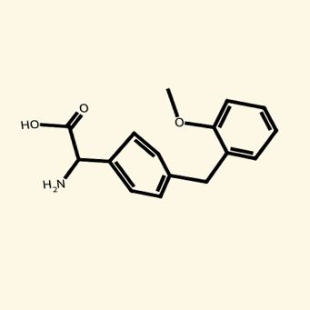 COc1ccccc1Cc1ccc(C(N)C(=O)O)cc1